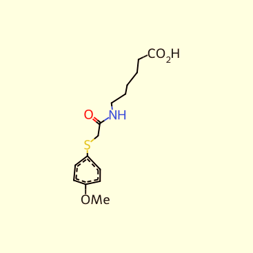 COc1ccc(SCC(=O)NCCCCCC(=O)O)cc1